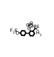 CC1NS(=O)(=O)Oc2c(-c3ccc(OC(F)(F)F)cc3)cccc21